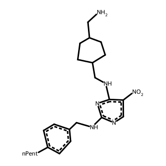 CCCCCc1ccc(CNc2ncc([N+](=O)[O-])c(NCC3CCC(CN)CC3)n2)cc1